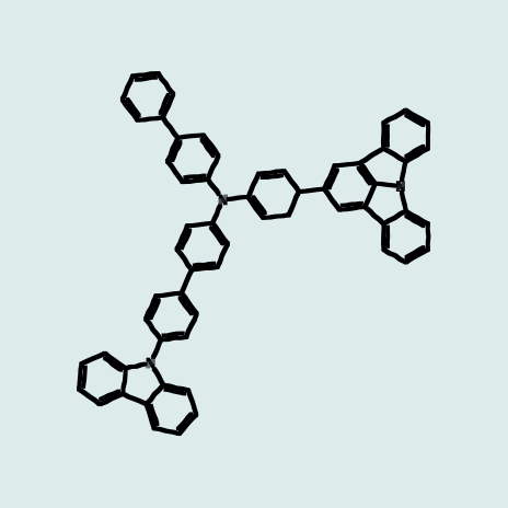 C1=CC(c2cc3c4ccccc4n4c5ccccc5c(c2)c34)CC=C1N(c1ccc(-c2ccccc2)cc1)c1ccc(-c2ccc(-n3c4ccccc4c4ccccc43)cc2)cc1